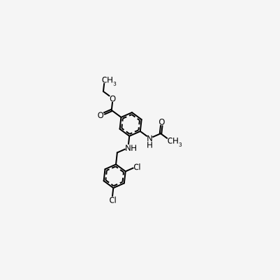 CCOC(=O)c1ccc(NC(C)=O)c(NCc2ccc(Cl)cc2Cl)c1